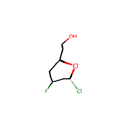 OCC1CC(F)[C@@H](Cl)O1